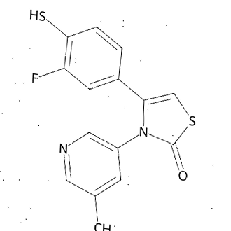 Cc1cncc(-n2c(-c3ccc(S)c(F)c3)csc2=O)c1